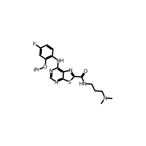 CC(C)Oc1cc(F)ccc1Nc1ncnc2sc(C(=O)NCCCN(C)C)nc12